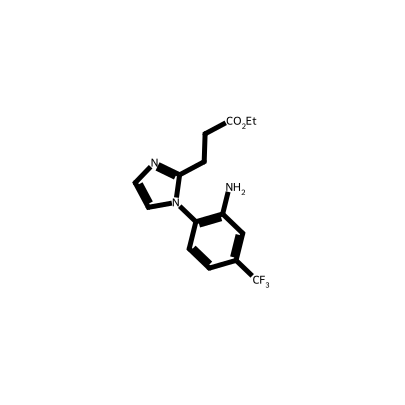 CCOC(=O)CCc1nccn1-c1ccc(C(F)(F)F)cc1N